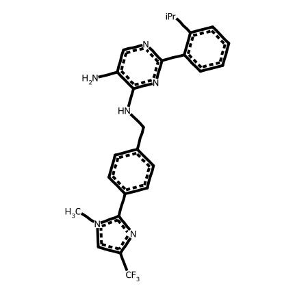 CC(C)c1ccccc1-c1ncc(N)c(NCc2ccc(-c3nc(C(F)(F)F)cn3C)cc2)n1